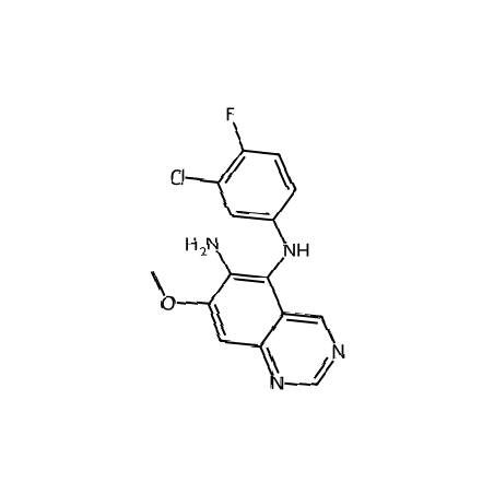 COc1cc2ncncc2c(Nc2ccc(F)c(Cl)c2)c1N